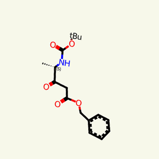 C[C@H](NC(=O)OC(C)(C)C)C(=O)CC(=O)OCc1ccccc1